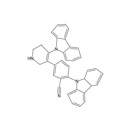 N#Cc1cc(C2=C(n3c4ccccc4c4ccccc43)CCNC2)ccc1N1c2ccccc2C2C=CC=CC21